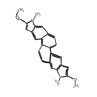 COc1cc2cc3c(ccc4c5cc6cc(OC)n(C)c6cc5ccc34)cc2n1C